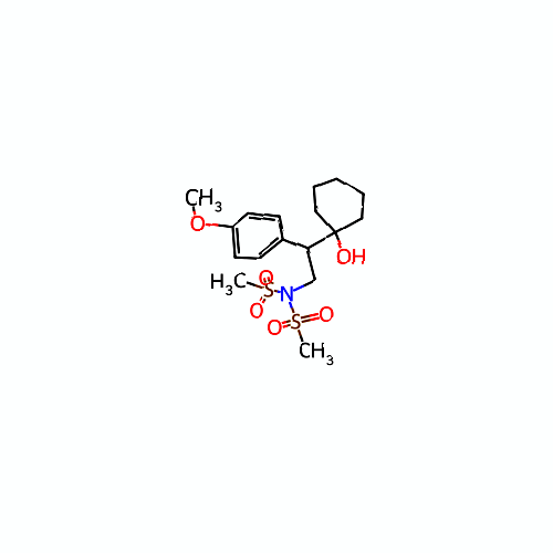 COc1ccc(C(CN(S(C)(=O)=O)S(C)(=O)=O)C2(O)CCCCC2)cc1